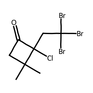 CC1(C)CC(=O)C1(Cl)CC(Br)(Br)Br